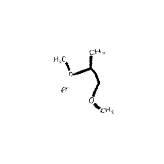 COCC(C)OC.[Pr]